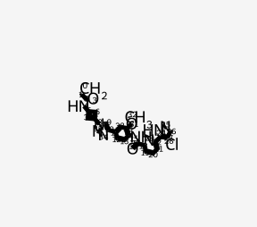 C=CC(=O)NC12CC(n3cc(-c4ccc(NC(=O)c5cccc(-c6[nH]ncc6Cl)n5)c(OC)c4)nn3)(C1)C2